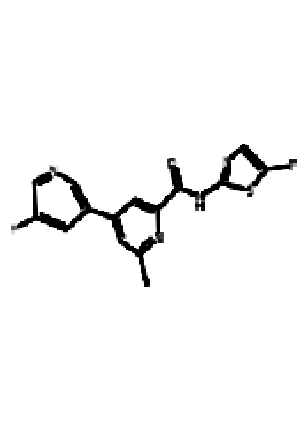 Cc1cc(-c2cncc(F)c2)cc(C(=O)Nc2ncc(F)s2)n1